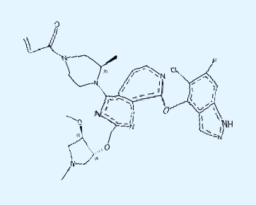 C=CC(=O)N1CCN(c2nc(O[C@@H]3CN(C)C[C@H]3OC)nc3c(Oc4c(Cl)c(F)cc5[nH]ncc45)nccc23)[C@H](C)C1